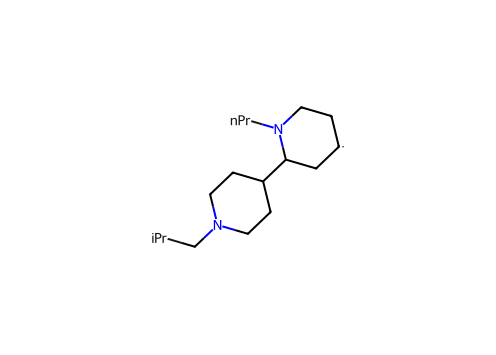 CCCN1CC[CH]CC1C1CCN(CC(C)C)CC1